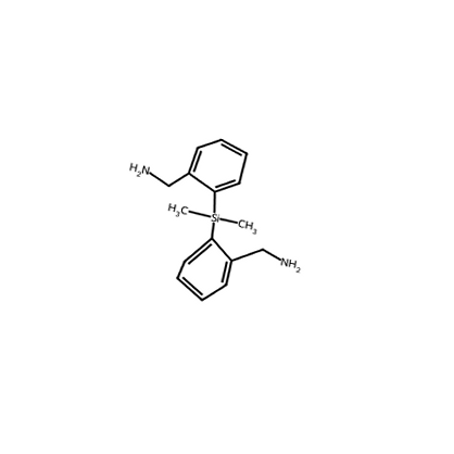 C[Si](C)(c1ccccc1CN)c1ccccc1CN